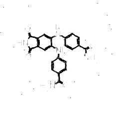 NC(=O)c1ccc(Nc2cc3c(cc2Nc2ccc(C(N)=O)cc2)C(=O)NC3=O)cc1